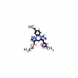 C#Cc1ccc2c(c1)-n1nnc(COCC)c1Cc1c(-c3cc(C)no3)ncn1-2